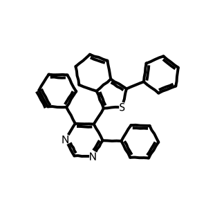 c1cccc(-c2ncnc(-c3ccccc3)c2-c2sc(-c3ccccc3)c3c2CCC=C3)c#1